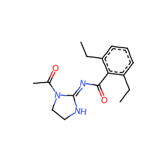 CCc1cccc(CC)c1C(=O)N=C1NCCN1C(C)=O